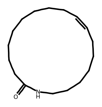 O=C1CCCCCCCCC=CCCCCCCN1